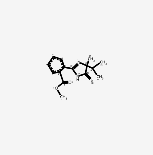 COC(=O)c1ccccc1C1=NC(C)(C(C)C)C(=S)N1